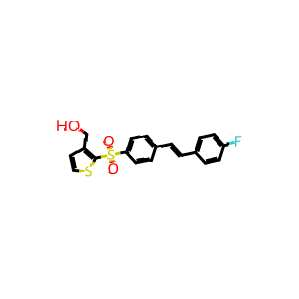 O=S(=O)(c1ccc(C=Cc2ccc(F)cc2)cc1)c1sccc1CO